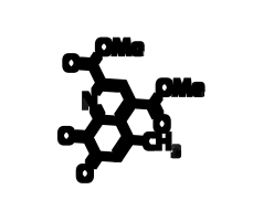 COC(=O)c1cc(C(=O)OC)c2c(n1)C(=O)C(=O)C=C2C